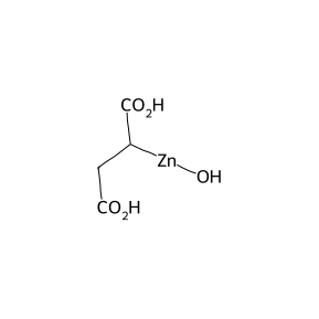 O=C(O)C[CH]([Zn][OH])C(=O)O